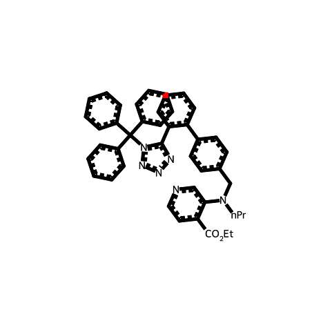 CCCN(Cc1ccc(-c2ccccc2-c2nnnn2C(c2ccccc2)(c2ccccc2)c2ccccc2)cc1)c1cnccc1C(=O)OCC